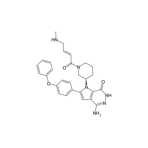 CNC/C=C/C(=O)N1CCC[C@@H](n2c(-c3ccc(Oc4ccccc4)cc3)cc3c(N)n[nH]c(=O)c32)C1